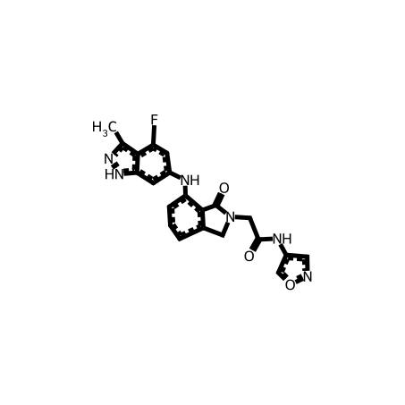 Cc1n[nH]c2cc(Nc3cccc4c3C(=O)N(CC(=O)Nc3cnoc3)C4)cc(F)c12